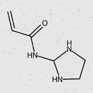 C=CC(=O)NC1NCCN1